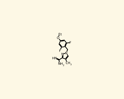 CCOc1cc(F)c(Cn2cc(C)c(C(=N)N)n2)c(F)c1